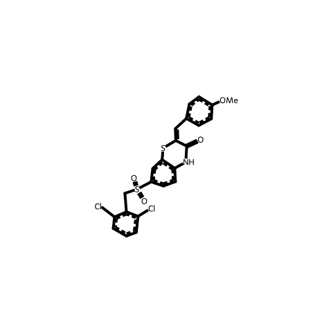 COc1ccc(C=C2Sc3cc(S(=O)(=O)Cc4c(Cl)cccc4Cl)ccc3NC2=O)cc1